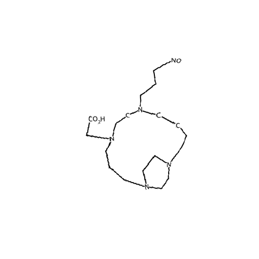 O=NCCCN1CCCN2CCN(CCCN(CC(=O)O)CC1)CC2